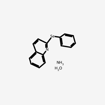 N.O.c1ccc([Se]c2ccc3ccccc3n2)cc1